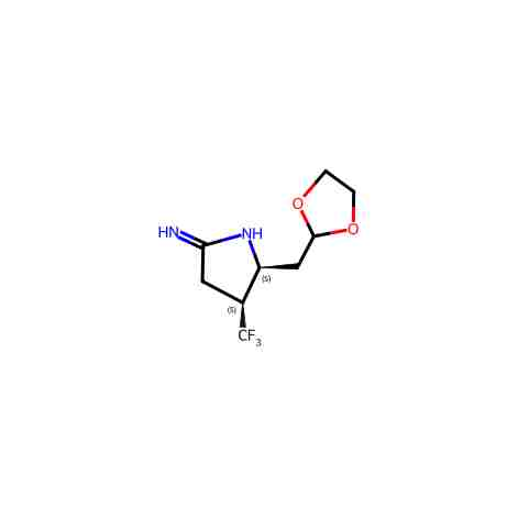 N=C1C[C@H](C(F)(F)F)[C@H](CC2OCCO2)N1